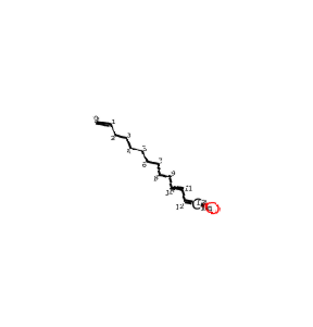 C=CCCCCCCCCC=CC=C=O